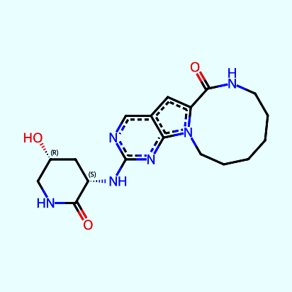 O=C1NCCCCCCn2c1cc1cnc(N[C@H]3C[C@@H](O)CNC3=O)nc12